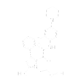 COCCn1c(C)cc(-c2ccccc2)c1C(=O)C(=O)Nc1ccc(N2CCCCC2)cc1F